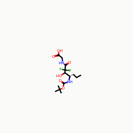 CCC[C@H](NC(=O)OC(C)(C)C)C(O)C(F)(F)C(=O)NCC(=O)O